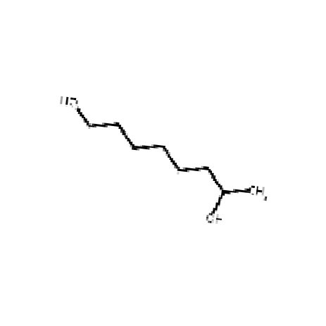 CC(O)C[CH]CCCCO